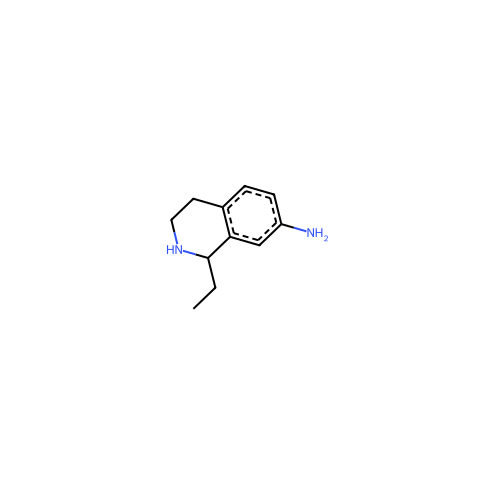 CCC1NCCc2ccc(N)cc21